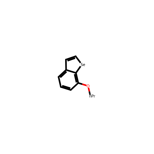 CCCOc1cccc2cc[se]c12